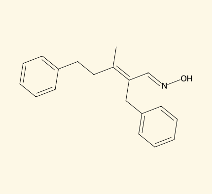 C/C(CCc1ccccc1)=C(\C=N\O)Cc1ccccc1